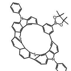 CC1(C)OB(c2cc3cc(c2)-c2ccc4c(c2)c2c5sc6c(c5ccc2n4-c2ccccc2)C=CC2C=Cc4c(sc5c4ccc4c5c5cc-3ccc5n4-c3ccccc3)C62)OC1(C)C